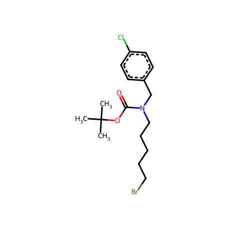 CC(C)(C)OC(=O)N(CCCCCBr)Cc1ccc(Cl)cc1